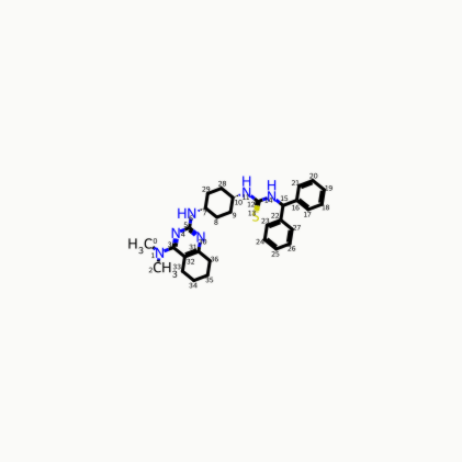 CN(C)c1nc(N[C@H]2CC[C@@H](NC(=S)NC(c3ccccc3)c3ccccc3)CC2)nc2c1CCCC2